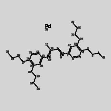 CCCCc1ccc(N=CC(C)=Nc2ccc(CCCC)c(CCCC)c2)cc1CCCC.[Pd]